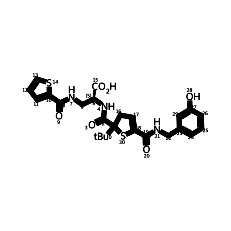 CC(C)(C)C1(C(=O)N[C@@H](CNC(=O)c2cccs2)C(=O)O)CC=C(C(=O)NCc2cccc(O)c2)S1